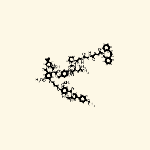 COc1ccc(C2=CN3C(=O)c4cc(OC)c(OCCCOc5cc6c(cc5OC)C(=O)N5CC7(CC7)C[C@H]5C(O)N6C(=O)OCc5ccc(NC(=O)[C@H](CC(C)C)NC(=O)[C@@H]6CCCN6C(=O)CNC(=O)CNC(=O)CCC(=O)N6Cc7ccccc7C#Cc7ccccc76)cc5)cc4NC[C@@H]3C2)cc1